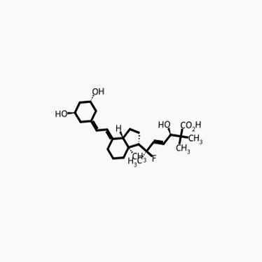 CC(C)(C(=O)O)[C@H](O)/C=C/[C@@](C)(F)[C@H]1CC[C@H]2/C(=C/C=C3C[C@@H](O)C[C@H](O)C3)CCC[C@@]21C